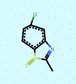 CC1=Nc2cc(Cl)ccc2S1=S